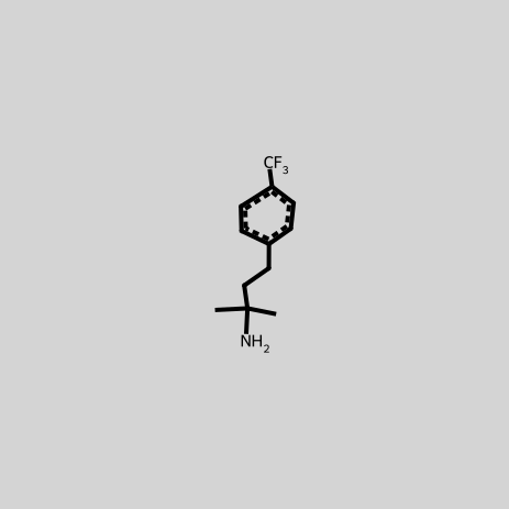 CC(C)(N)CCc1ccc(C(F)(F)F)cc1